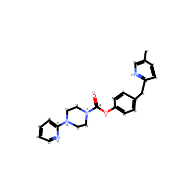 Cc1ccc(Cc2ccc(OC(=O)N3CCN(c4ccccn4)CC3)cc2)nc1